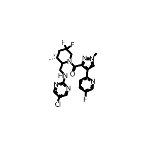 C[C@@H]1CC(F)(F)CN(C(=O)c2nn(C)cc2-c2ccc(F)cn2)C1CNc1ncc(Cl)cn1